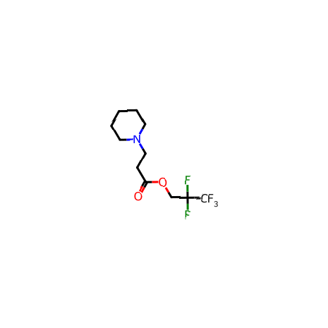 O=C(CCN1CCCCC1)OCC(F)(F)C(F)(F)F